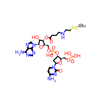 CC(C)(C)SSCCNCCCC(=O)O[C@H]1[C@@H](O)[C@H](n2cnc3c(N)ncnc32)O[C@@H]1COP(=O)(O)O[C@H]1CC(n2ccc(N)nc2=O)O[C@@H]1COP(=O)(O)O